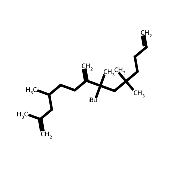 C=CCCC(C)(C)CC(C)(C(=C)CCC(C)CC(=C)C)C(C)CC